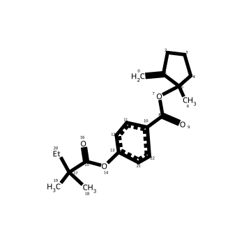 C=C1CCCC1(C)OC(=O)c1ccc(OC(=O)C(C)(C)CC)cc1